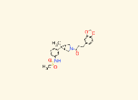 CC1(c2cccc(NS(C)(=O)=O)c2)C2CN(C(=O)CCc3ccc4c(c3)OCO4)CC21